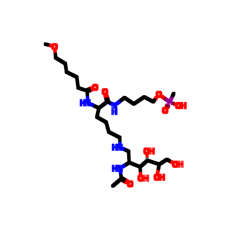 COCCCCCC(=O)NC(CCCCNCC(NC(C)=O)C(O)[C@H](O)C(O)CO)C(=O)NCCCCOP(C)(=O)O